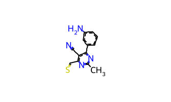 Cc1nc(C=S)c(C#N)c(-c2cccc(N)c2)n1